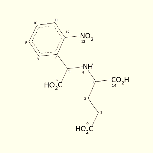 O=C(O)CCC(NC(C(=O)O)c1ccccc1[N+](=O)[O-])C(=O)O